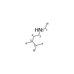 CCNCCC(C)C(C)C